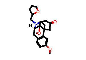 COc1ccc2c(c1)[C@]13CCN(CC4CCCO4)[C@H](C2)C1(OC)CCC(=O)C3